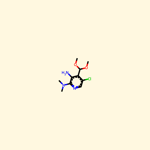 COC(OC)c1c(Cl)cnc(N(C)C)c1N